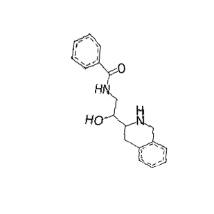 O=C(NCC(O)C1Cc2ccccc2CN1)c1ccccc1